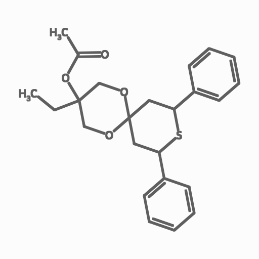 CCC1(OC(C)=O)COC2(CC(c3ccccc3)SC(c3ccccc3)C2)OC1